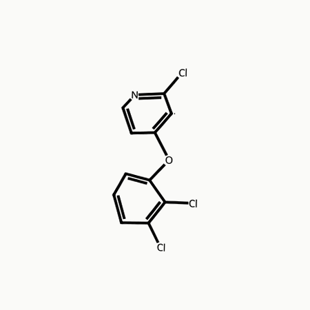 Clc1[c]c(Oc2cccc(Cl)c2Cl)ccn1